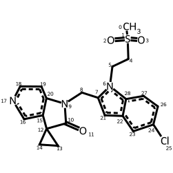 CS(=O)(=O)CCn1c(CN2C(=O)C3(CC3)c3cnccc32)cc2cc(Cl)ccc21